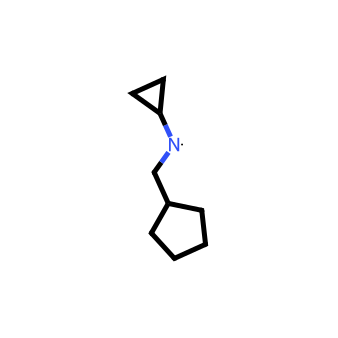 C1CCC(C[N]C2CC2)C1